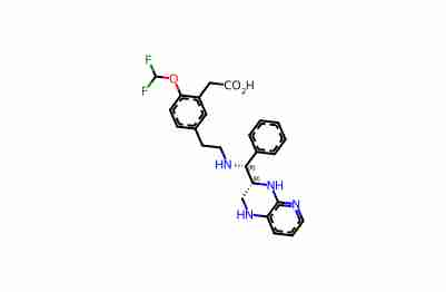 O=C(O)Cc1cc(CCN[C@H](c2ccccc2)[C@H]2CNc3cccnc3N2)ccc1OC(F)F